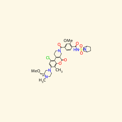 COC[C@H]1CN(c2cc(Cl)c3c4c(c(=O)oc3c2C)CN(C(=O)c2ccc(C(=O)NS(=O)(=O)N3C5CCC3CC5)c(OC)c2)CC4)CCN1C